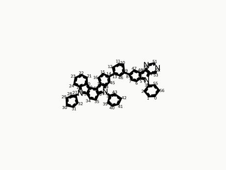 c1ccc(-n2c3ccc(-c4cccc(-c5ccc6c7c8c9ccccc9n(-c9ccccc9)c8ccc7n(-c7ccccc7)c6c5)c4)cc3c3ncncc32)cc1